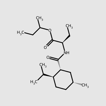 CCC(C)OC(=O)[C@@H](CC)NC(=O)[C@@H]1C[C@H](C)CC[C@H]1C(C)C